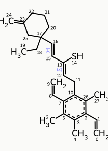 C=Cc1c(C)c(C)c(C=C)c(C/C=C(S)/C=C/C2(CC)CCCC(=C)C2)c1C